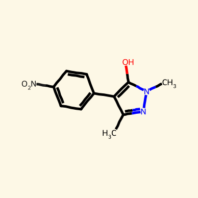 Cc1nn(C)c(O)c1-c1ccc([N+](=O)[O-])cc1